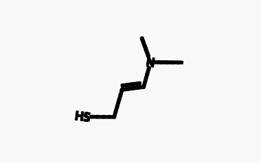 CN(C)C=CCS